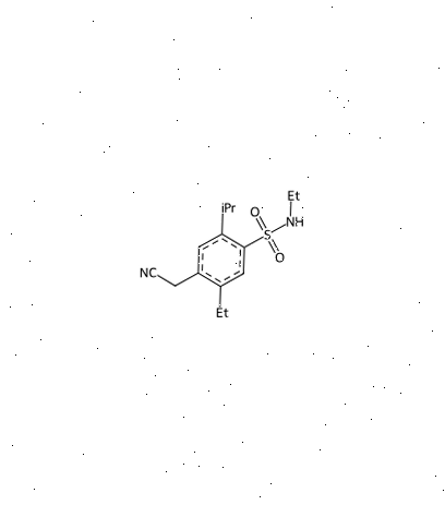 CCNS(=O)(=O)c1cc(CC)c(CC#N)cc1C(C)C